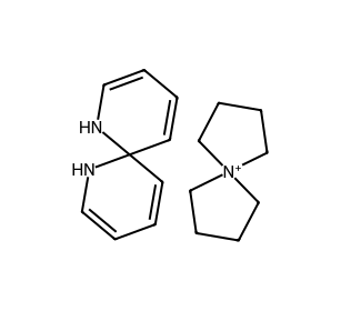 C1=CNC2(C=C1)C=CC=CN2.C1CC[N+]2(C1)CCCC2